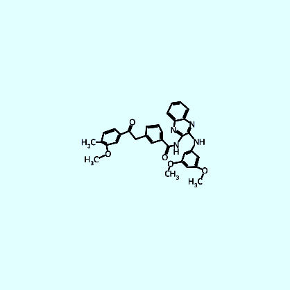 COc1cc(Nc2nc3ccccc3nc2NC(=O)c2cccc(CC(=O)c3ccc(C)c(OC)c3)c2)cc(OC)c1